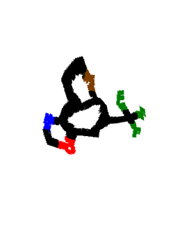 FC(F)(F)c1cc2ocnc2c2ccsc12